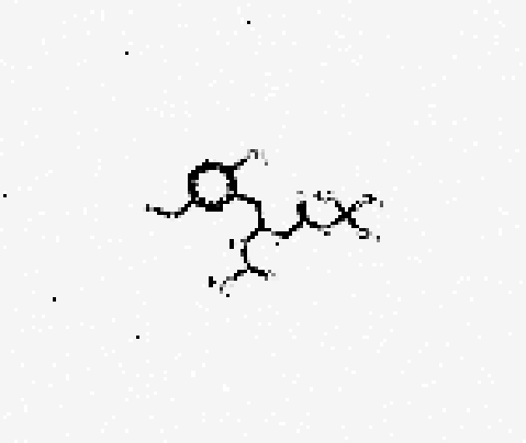 CB(O)N[C@H](CC(=O)OC(C)(C)C)Cc1cc(CBr)ccc1C